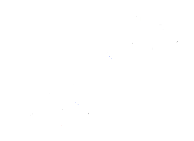 CC(C)(C)OC(=O)N1CCc2ccc(CCC(F)(F)F)nc2CC1